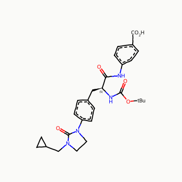 CC(C)(C)OC(=O)N[C@@H](Cc1ccc(N2CCN(CC3CC3)C2=O)cc1)C(=O)Nc1ccc(C(=O)O)cc1